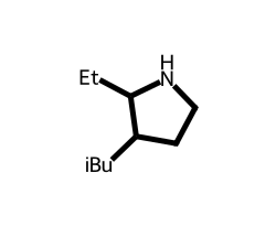 CCC(C)C1CCNC1CC